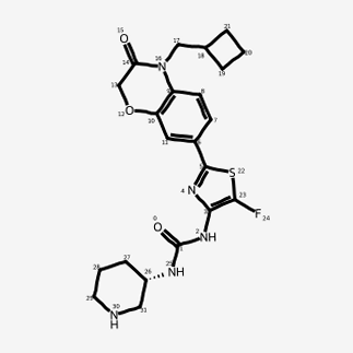 O=C(Nc1nc(-c2ccc3c(c2)OCC(=O)N3CC2CCC2)sc1F)N[C@H]1CCCNC1